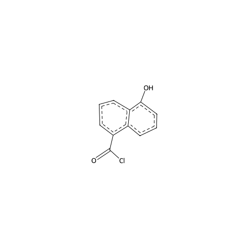 O=C(Cl)c1cccc2c(O)cccc12